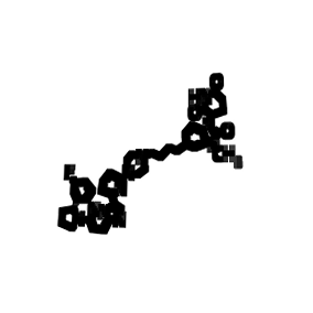 Cn1c(=O)n(C2CCC(=O)NC2=O)c2ccc(CCCCN3CCN(c4cccc(-c5cnc6ccc(N7CCC[C@@H]7c7cccc(F)c7)nn56)n4)CC3)cc21